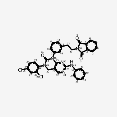 O=C1c2ccccc2C(=O)N1CCc1cccc(N2C(=O)N(c3ccc(Cl)cc3Cl)Cc3cnc(Nc4ccccc4)nc32)c1